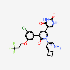 N/C=C(\C=C1CCC1)n1cc(-c2c[nH]c(=O)[nH]c2=O)cc(-c2cc(Cl)cc(OCCC(F)(F)F)c2)c1=O